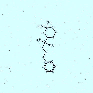 CC1(C)OCCC(C(C)(C)COCc2ccccc2)O1